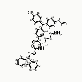 C=CCc1ccc([C](c2ccc(Cl)cc2)c2ccc(C(=O)[C@H](CCCCN)NC(=O)OCC3c4ccccc4-c4ccccc43)cc2)cc1